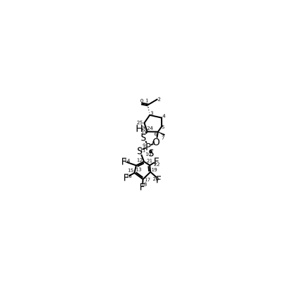 C=C(C)[C@@H]1CC[C@]2(C)OP(=S)(Sc3c(F)c(F)c(F)c(F)c3F)S[C@H]2C1